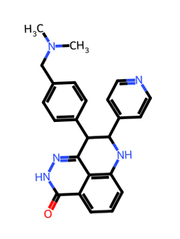 CN(C)Cc1ccc(C2c3n[nH]c(=O)c4cccc(c34)NC2c2ccncc2)cc1